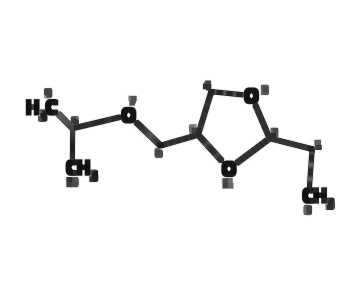 CCC1OCC(COC(C)C)O1